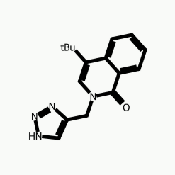 CC(C)(C)c1cn(Cc2c[nH]nn2)c(=O)c2ccccc12